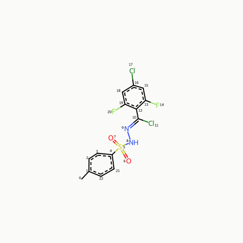 Cc1ccc(S(=O)(=O)NN=C(Cl)c2c(F)cc(Cl)cc2F)cc1